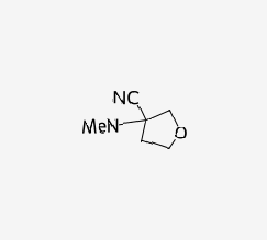 CNC1(C#N)CCOC1